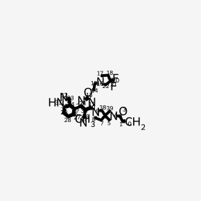 C=CC(=O)N1CC2(CCN(c3nc(OCCN4CCC(F)(F)C4)nc(-c4c(C)ccc5[nH]ncc45)c3C#N)C2)C1